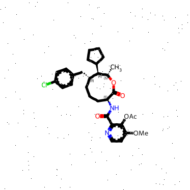 COc1ccnc(C(=O)N[C@H]2CCC[C@H](Cc3ccc(Cl)cc3)[C@@H](C3CCCC3)[C@H](C)OC2=O)c1OC(C)=O